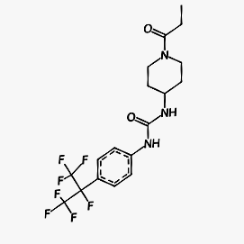 CCC(=O)N1CCC(NC(=O)Nc2ccc(C(F)(C(F)(F)F)C(F)(F)F)cc2)CC1